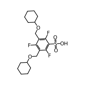 O=S(=O)(O)c1c(F)c(COC2CCCCC2)c(F)c(COC2CCCCC2)c1F